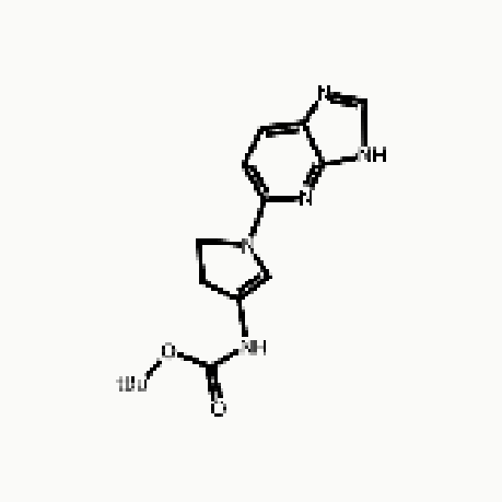 CC(C)(C)OC(=O)NC1=CN(c2ccc3nc[nH]c3n2)CC1